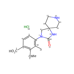 COc1c(C(=O)O)ccc(N2CC3(CCNCC3)NC2=O)c1C.Cl